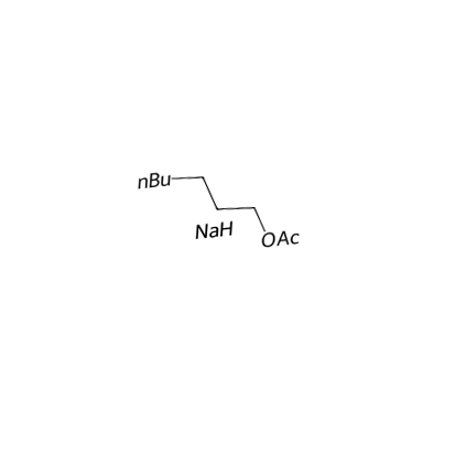 CCCCCCCOC(C)=O.[NaH]